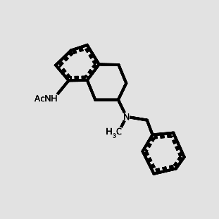 CC(=O)Nc1cccc2c1CC(N(C)Cc1ccccc1)CC2